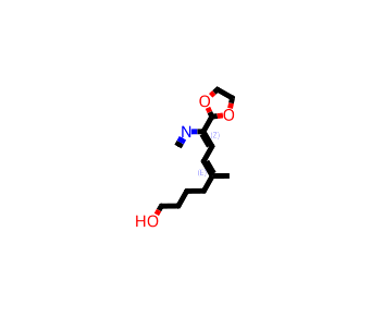 C=N/C(=C\C=C(/C)CCCCO)C1OCCO1